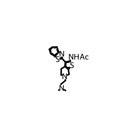 CC(=O)Nc1sc2c(c1-c1nc3ccccc3s1)CCN(CCN(C)C)C2